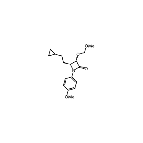 COCO[C@H]1C(=O)N(c2ccc(OC)cc2)[C@H]1CCC1CC1